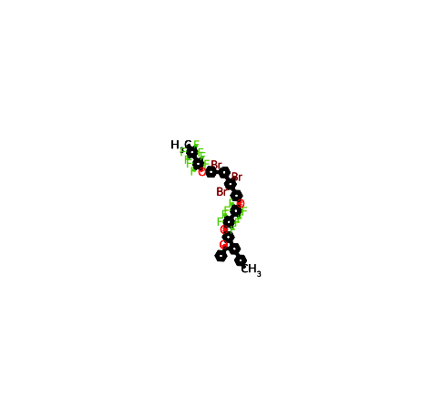 Cc1ccc(-c2ccc(-c3ccc(Oc4c(F)c(F)c(-c5c(F)c(F)c(Oc6ccc(-c7cc(Br)c(-c8ccc(Br)c(-c9ccc(Oc%10c(F)c(F)c(-c%11c(F)c(F)c(C)c(F)c%11F)c(F)c%10F)cc9)c8)cc7Br)cc6)c(F)c5F)c(F)c4F)cc3)c(C(=O)c3ccccc3)c2)cc1